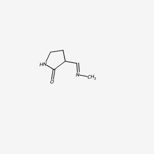 C/N=C/C1CCNC1=O